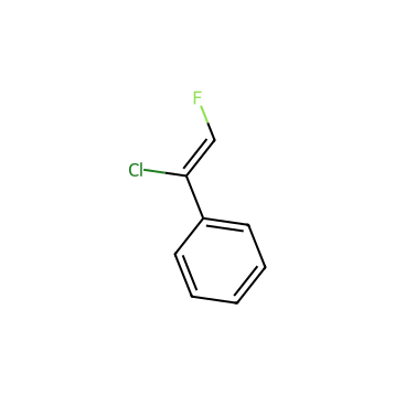 FC=C(Cl)c1ccccc1